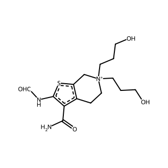 NC(=O)c1c(NC=O)sc2c1CC[N+](CCCO)(CCCO)C2